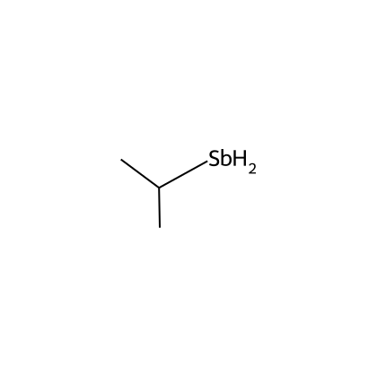 C[CH](C)[SbH2]